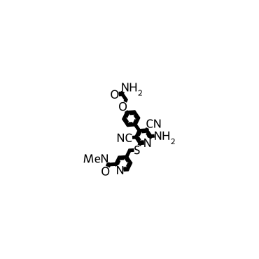 CNC(=O)c1cc(CSc2nc(N)c(C#N)c(-c3ccc(OCC(N)=O)cc3)c2C#N)ccn1